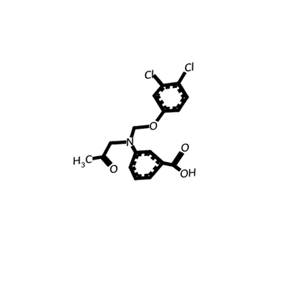 CC(=O)CN(COc1ccc(Cl)c(Cl)c1)c1cccc(C(=O)O)c1